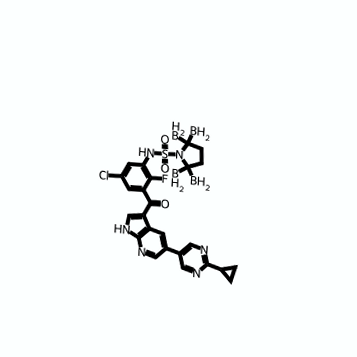 BC1(B)CCC(B)(B)N1S(=O)(=O)Nc1cc(Cl)cc(C(=O)c2c[nH]c3ncc(-c4cnc(C5CC5)nc4)cc23)c1F